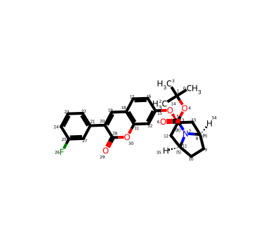 CC(C)(C)OC(=O)N1[C@@H]2CC[C@H]1C[C@@H](Oc1ccc3cc(-c4cccc(F)c4)c(=O)oc3c1)C2